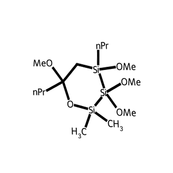 CCCC1(OC)C[Si](CCC)(OC)[Si](OC)(OC)[Si](C)(C)O1